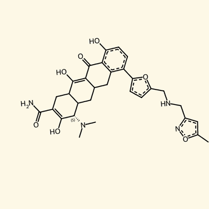 Cc1cc(CNCc2ccc(-c3ccc(O)c4c3CC3CC5C(CC(C(N)=O)=C(O)[C@H]5N(C)C)C(O)=C3C4=O)o2)no1